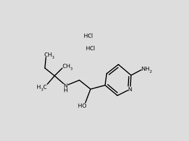 CCC(C)(C)NCC(O)c1ccc(N)nc1.Cl.Cl